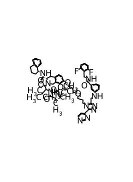 C[C@@H](C(=O)NC(C(=O)N1Cc2cc(OCCCOCCCn3c(CNc4cccc(C(=O)NCc5c(F)cccc5F)c4)nnc3-c3ccncn3)ccc2C[C@H]1C(=O)N[C@@H]1CCCc2ccccc21)C(C)(C)C)N(C)C(=O)OC(C)(C)C